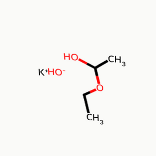 CCOC(C)O.[K+].[OH-]